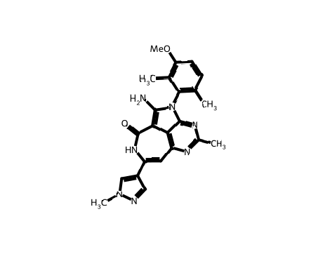 COc1ccc(C)c(-n2c(N)c3c4c(nc(C)nc42)C=C(c2cnn(C)c2)NC3=O)c1C